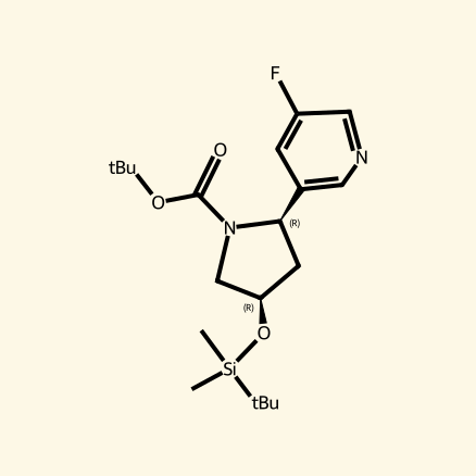 CC(C)(C)OC(=O)N1C[C@H](O[Si](C)(C)C(C)(C)C)C[C@@H]1c1cncc(F)c1